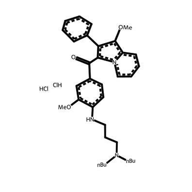 CCCCN(CCCC)CCCNc1ccc(C(=O)c2c(-c3ccccc3)c(OC)c3ccccn23)cc1OC.Cl.Cl